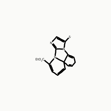 CCOC(=O)C1=CC=CC23C=CCC=C2n2c([S])cnc2N13